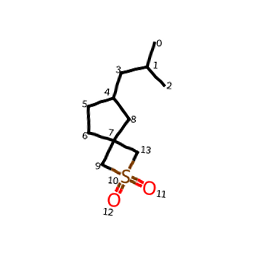 CC(C)CC1CCC2(C1)CS(=O)(=O)C2